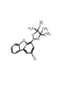 CC1(C)OB(c2cc(Cl)cc3c2oc2ccccc23)OC1(C)C